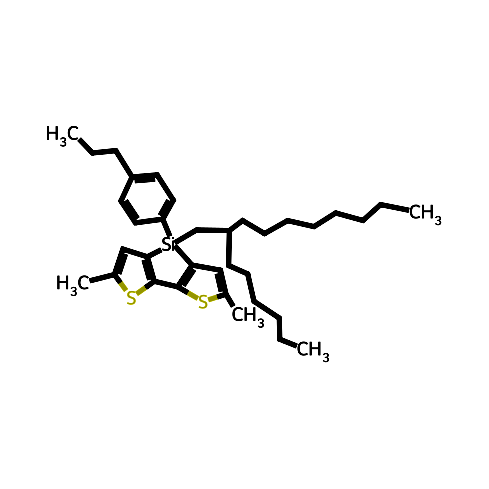 CCCCCCCCC(CCCCCC)C[Si]1(c2ccc(CCC)cc2)c2cc(C)sc2-c2sc(C)cc21